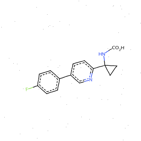 O=C(O)NC1(c2ccc(-c3ccc(F)cc3)cn2)CC1